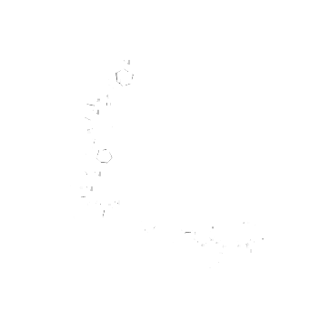 CC(C)[C@H](NC(=O)[C@H](N)CCCCNC(=O)COC1CCCCCC2C1N=NN2[C@H]1O[C@H](CO)[C@@H](O[C@H]2O[C@H](CO)[C@@H](O)[C@H](O)[C@H]2O)[C@H](O)[C@H]1O)C(=O)N[C@@H](C)C(=O)Nc1ccc2c(c1)[C@@]1(C)CCC[C@](C)(C(=O)NC(=O)[C@@]3(C)CCC[C@]4(C)c5cc(N)ccc5CC[C@@H]34)C1CC2